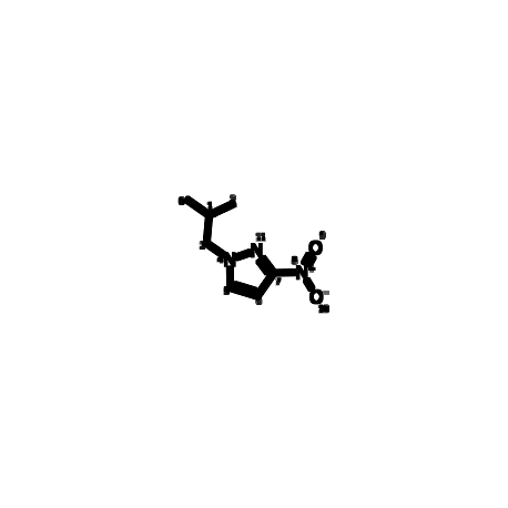 C[C](C)Cn1ccc([N+](=O)[O-])n1